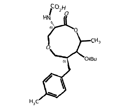 Cc1ccc(C[C@H]2COC[C@H](NC(=O)O)C(=O)OC(C)C2OCC(C)C)cc1